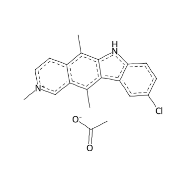 CC(=O)[O-].Cc1c2cc[n+](C)cc2c(C)c2c1[nH]c1ccc(Cl)cc12